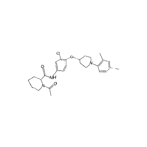 CC(=O)N1CCCCC1C(=O)Nc1ccc(OC2CCN(c3ccc(C)cc3C)CC2)c(Cl)c1